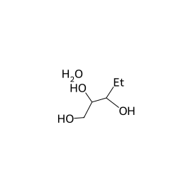 CCC(O)C(O)CO.O